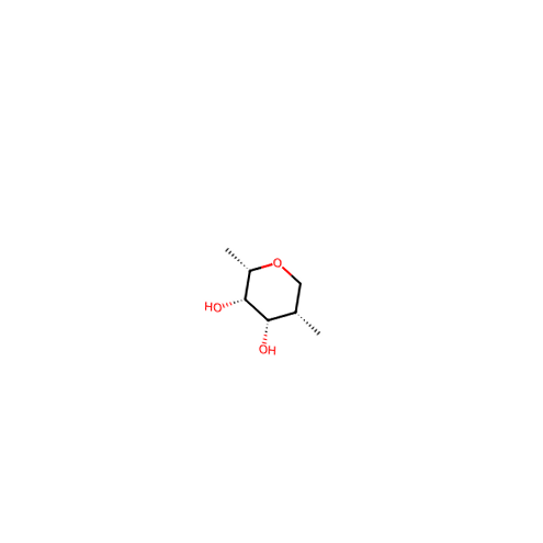 C[C@@H]1OC[C@H](C)[C@H](O)[C@@H]1O